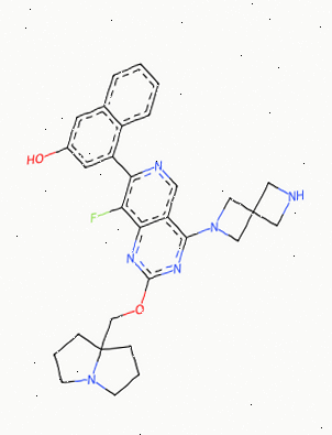 Oc1cc(-c2ncc3c(N4CC5(CNC5)C4)nc(OCC45CCCN4CCC5)nc3c2F)c2ccccc2c1